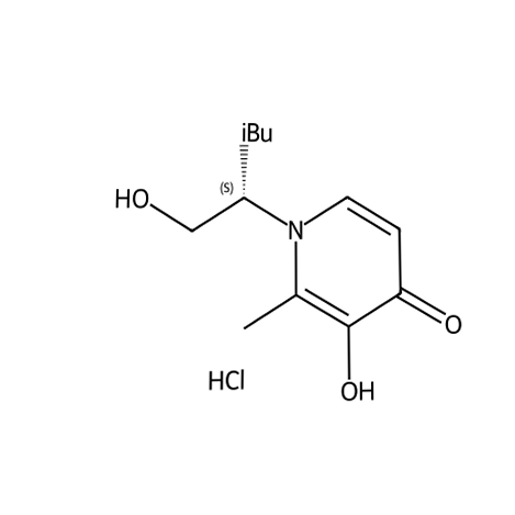 CCC(C)[C@@H](CO)n1ccc(=O)c(O)c1C.Cl